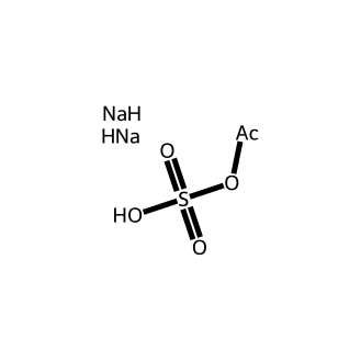 CC(=O)OS(=O)(=O)O.[NaH].[NaH]